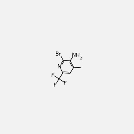 Cc1cc(C(F)(F)F)nc(Br)c1N